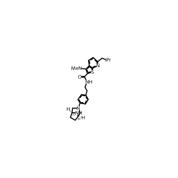 CNc1c(C(=O)NCCc2ccc(N3C[C@H]4CC[C@@H](C3)N4)cc2)sc2nc(CC(C)C)ccc12